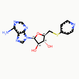 Nc1ncnc2c1ncn2[C@H]1O[C@@H](CSc2ccncc2)[C@H](O)[C@H]1O